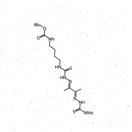 CNC(=S)N/N=C(C)/C(C)=N/NC(=S)NCCCCNC(=O)OC(C)(C)C